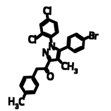 Cc1ccc(CC(=O)c2nn(-c3ccc(Cl)cc3Cl)c(-c3ccc(Br)cc3)c2C)cc1